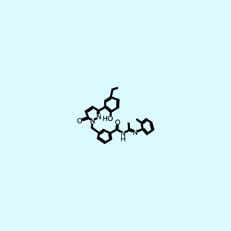 CCc1ccc(O)c(-c2ccc(=O)n(Cc3cccc(C(=O)N/C(C)=N/c4ccccc4C)c3)n2)c1